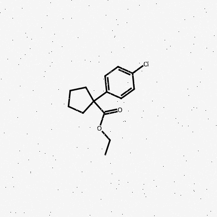 CCOC(=O)C1(c2ccc(Cl)cc2)CCCC1